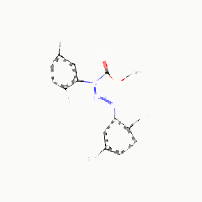 CCCCOC(=O)N(/N=N/c1cc(C(F)(F)F)ccc1C#N)c1cc(C(F)(F)F)ccc1C#N